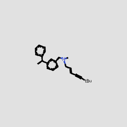 CC(c1ccccc1)c1cccc(CN(C)CC=CC#CC(C)(C)C)c1